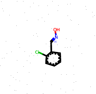 O/N=C/c1ccccc1Cl